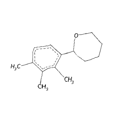 Cc1ccc(C2CCCCO2)c(C)c1C